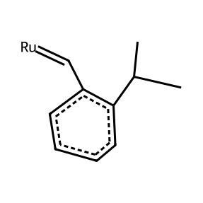 CC(C)c1ccccc1[CH]=[Ru]